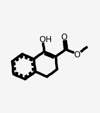 COC(=O)C1=C(O)c2ccccc2CC1